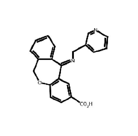 O=C(O)c1ccc2c(c1)/C(=N/Cc1cccnc1)c1ccccc1CO2